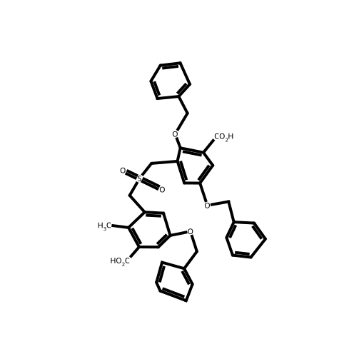 Cc1c(CS(=O)(=O)Cc2cc(OCc3ccccc3)cc(C(=O)O)c2OCc2ccccc2)cc(OCc2ccccc2)cc1C(=O)O